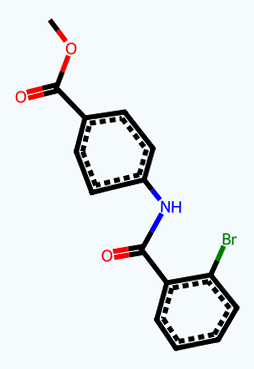 COC(=O)c1ccc(NC(=O)c2ccccc2Br)cc1